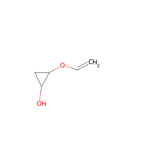 C=COC1CC1O